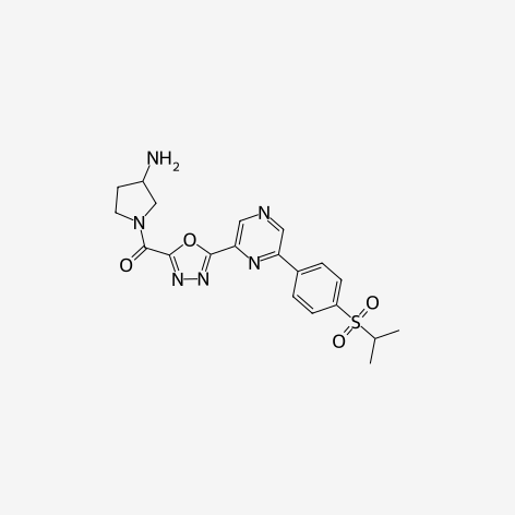 CC(C)S(=O)(=O)c1ccc(-c2cncc(-c3nnc(C(=O)N4CCC(N)C4)o3)n2)cc1